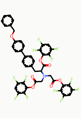 O=C(CN(CC(=O)Oc1c(F)c(F)cc(F)c1F)C(Cc1ccc(-c2ccc(OCc3ccccc3)cc2)cc1)C(=O)Oc1c(F)c(F)cc(F)c1F)Oc1c(F)c(F)cc(F)c1F